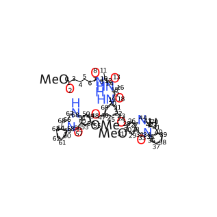 COC(=O)CCCCC(=O)NC(C)C(=O)NC(C)C(=O)Nc1cc(COc2cc3c(cc2OC)C(=O)N2c4ccccc4C[C@H]2C=N3)cc(COc2cc3c(cc2OC)C(=O)N2c4ccccc4CC2CN3)c1